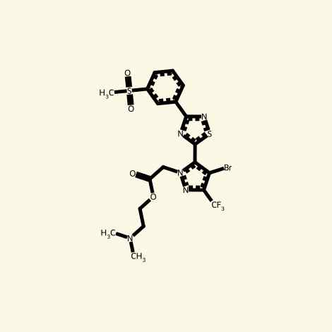 CN(C)CCOC(=O)Cn1nc(C(F)(F)F)c(Br)c1-c1nc(-c2cccc(S(C)(=O)=O)c2)ns1